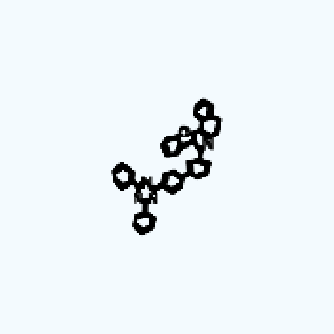 c1ccc(-c2nc(-c3ccccc3)nc(-c3ccc(-c4cccc(-c5nc6ccc7ccccc7c6c6oc7ccccc7c56)c4)cc3)n2)cc1